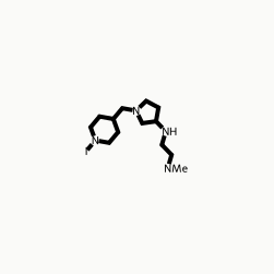 CNCCNC1CCN(CC2CCN(I)CC2)C1